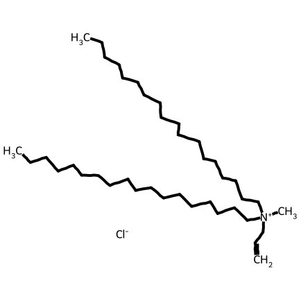 C=CC[N+](C)(CCCCCCCCCCCCCCCCCC)CCCCCCCCCCCCCCCCCC.[Cl-]